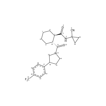 N#CC1(NC(=O)[C@@H]2CCCC[C@H]2C(=O)N2CCC(c3ccc(C(F)(F)F)cc3)C2)CC1